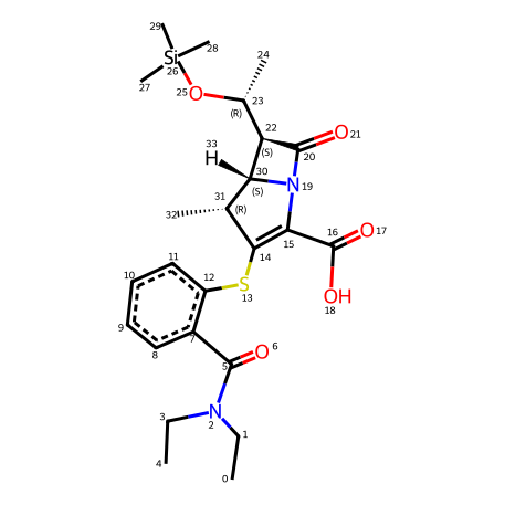 CCN(CC)C(=O)c1ccccc1SC1=C(C(=O)O)N2C(=O)[C@H]([C@@H](C)O[Si](C)(C)C)[C@H]2[C@H]1C